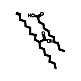 C=CCCCCCCCC(CCCCCCC)C(=O)O.CCCCCCCCCCC(=O)O